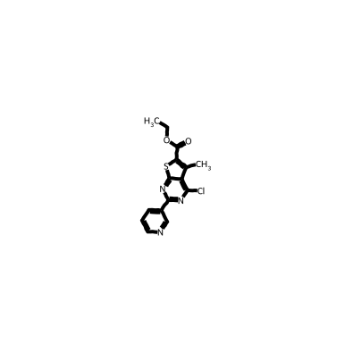 CCOC(=O)c1sc2nc(-c3cccnc3)nc(Cl)c2c1C